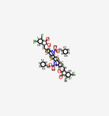 O=C1C(=O)c2c(F)cc(F)cc2/C1=C/c1cc2c(s1)c1sc3c(sc4c5sc(/C=C6\C(=O)C(=O)c7c(F)cc(F)cc76)cc5n(C(=O)OCc5ccccc5)c43)c1n2C(=O)OCc1ccccc1